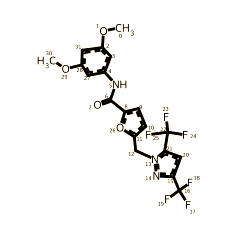 COc1cc(NC(=O)c2ccc(Cn3nc(C(F)(F)F)cc3C(F)(F)F)o2)cc(OC)c1